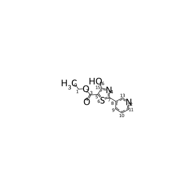 CCOC(=O)c1sc(-c2cccnc2)nc1O